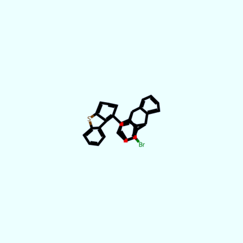 Brc1ccc(-c2cccc3sc4ccccc4c23)c2c1C1c3ccccc3C2c2ccccc21